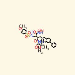 COc1ccc(S(=O)(=O)CNCC(C(=O)NO)C(CCCc2ccc(-c3ccccc3)cc2)C(=O)N[C@H](CO)C(C)(C)C)cc1